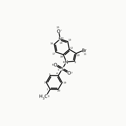 Cc1ccc(S(=O)(=O)n2cc(Br)c3c[n+]([O-])ccc32)cc1